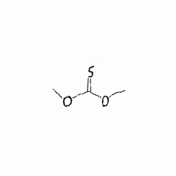 COC(=S)OC